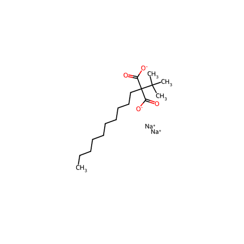 CCCCCCCCCCC(C(=O)[O-])(C(=O)[O-])C(C)(C)C.[Na+].[Na+]